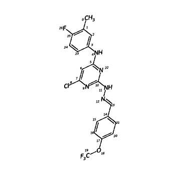 Cc1cc(Nc2cc(Cl)nc(N/N=C/c3ccc(OC(F)(F)F)cc3)n2)ccc1F